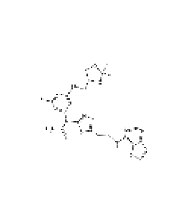 CC1(C)OCC(COc2cc(F)cc(N(C(N)=O)c3ncc(CCNc4ncnc5ccsc45)s3)c2)O1